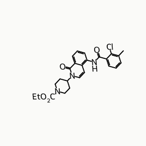 CCOC(=O)N1CCC(n2ccc3c(NC(=O)c4cccc(C)c4Cl)cccc3c2=O)CC1